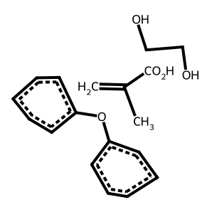 C=C(C)C(=O)O.OCCO.c1ccc(Oc2ccccc2)cc1